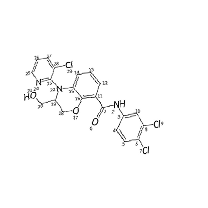 O=C(Nc1ccc(Cl)c(Cl)c1)c1cccc2c1OCC(CO)N2c1ncccc1Cl